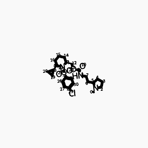 CN1CCCC1CCNC(=O)OC[C@@H]1CCC[C@H](C2CC2)N1S(=O)(=O)c1ccc(Cl)cc1